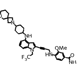 COc1cc(C(N)=O)ccc1NCC#Cc1cc2c(NC3CCC(N4CC5(CCCOC5)C4)CC3)cccc2n1CC(F)(F)F